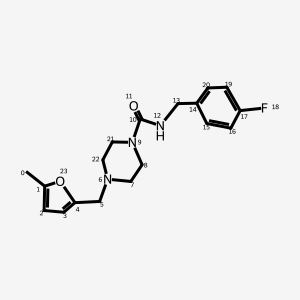 Cc1ccc(CN2CCN(C(=O)NCc3ccc(F)cc3)CC2)o1